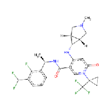 C[C@@H](NC(=O)c1cn(C2(C(F)(F)F)CC2)c(=O)cc1N[C@@H]1[C@@H]2CN(C)C[C@@H]21)c1cccc(C(F)F)c1F